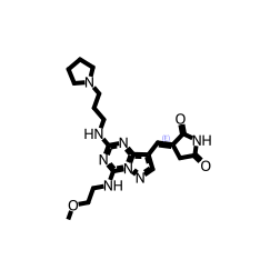 COCCNc1nc(NCCCN2CCCC2)nc2c(/C=C3\CC(=O)NC3=O)cnn12